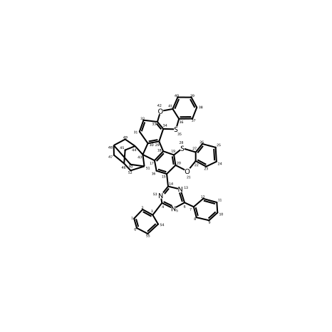 c1ccc(-c2nc(-c3ccccc3)nc(-c3cc4c(c5c3Oc3ccccc3S5)-c3c(ccc5c3Sc3ccccc3O5)C43C4CC5CC(C4)CC3C5)n2)cc1